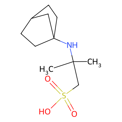 CC(C)(CS(=O)(=O)O)NC12CCC(CC1)C2